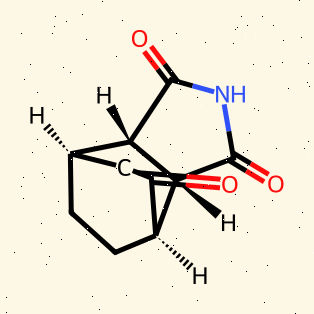 O=C1NC(=O)[C@H]2[C@@H]1[C@@H]1CC[C@H]2C(=O)C1